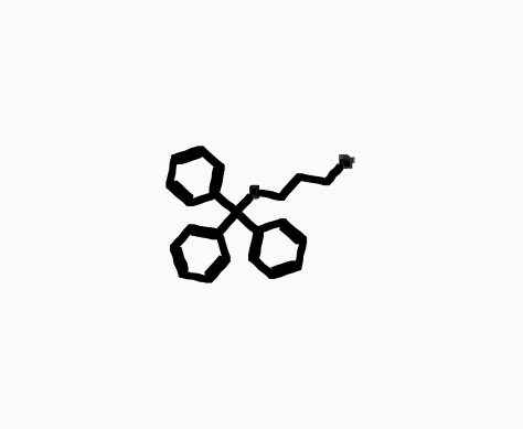 BrCCCSC(c1ccccc1)(c1ccccc1)c1ccccc1